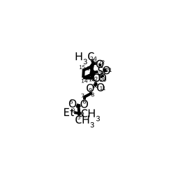 CCC(C)(C)C(=O)OCCOC(=O)OC1C2CC3C(C2)S(=O)(=O)OC31C